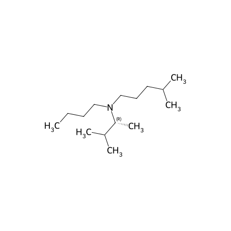 CCCCN(CCCC(C)C)[C@H](C)C(C)C